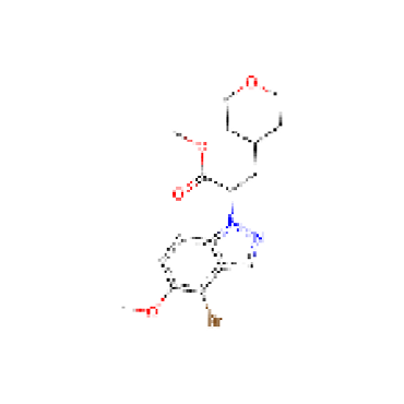 COC(=O)C(CC1CCOCC1)n1ncc2c(Br)c(OC)ccc21